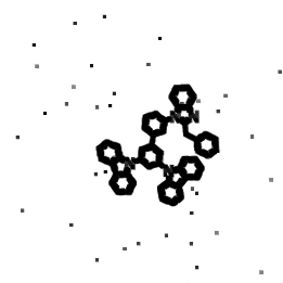 c1ccc(Cc2nc3ccccc3n2-c2cccc(-c3cc(-n4c5ccccc5c5ccccc54)cc(-n4c5ccccc5c5ccccc54)c3)c2)cc1